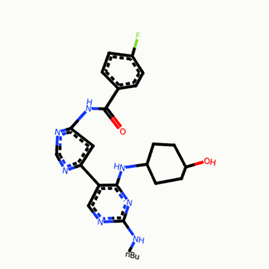 CCCCNc1ncc(-c2cc(NC(=O)c3ccc(F)cc3)ncn2)c(NC2CCC(O)CC2)n1